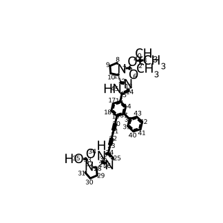 CC(C)(C)OC(=O)N1CCC[C@H]1c1ncc(-c2ccc(C#CC#Cc3cnc([C@@H]4CCCN4C(=O)O)[nH]3)c(-c3ccccc3)c2)[nH]1